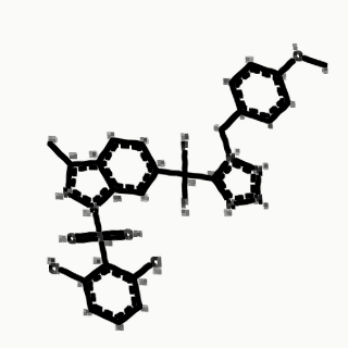 COc1ccc(Cn2nnnc2C(F)(F)c2ccc3c(C)nn(S(=O)(=O)c4c(Cl)cccc4Cl)c3c2)cc1